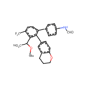 CC(C)(C)OC(C(=O)O)c1c(C(F)(F)F)ccc(-c2ccc(NC=O)cc2)c1-c1ccc2c(c1)CCCO2